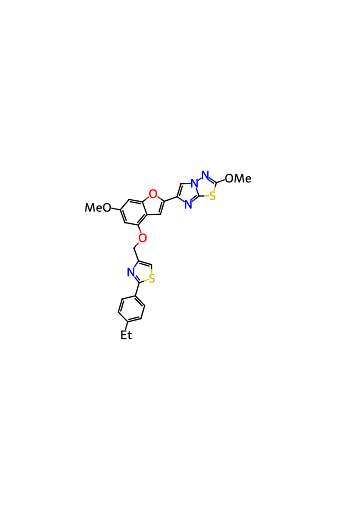 CCc1ccc(-c2nc(COc3cc(OC)cc4oc(-c5cn6nc(OC)sc6n5)cc34)cs2)cc1